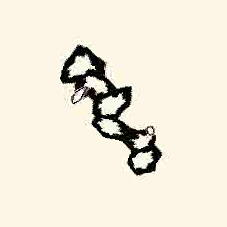 c1ccc2c(c1)oc1c2ccc2c1ccc1c3ccccc3oc12